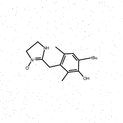 Cc1cc(C(C)(C)C)c(O)c(C)c1CC1=[N+]([O-])CCN1